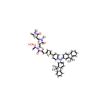 C=C(OO)n1c(=O)/c(=C/c2ccc(-c3ccc(N(c4ccc5c(c4)C(CC)(CC)c4ccccc4-5)c4ccc5c(c4)C(CC)(CC)c4ccccc4-5)cc3)s2)s/c1=c1/s/c(=C2\SC(=S)N(CC)C2=O)n(CC)c1=O